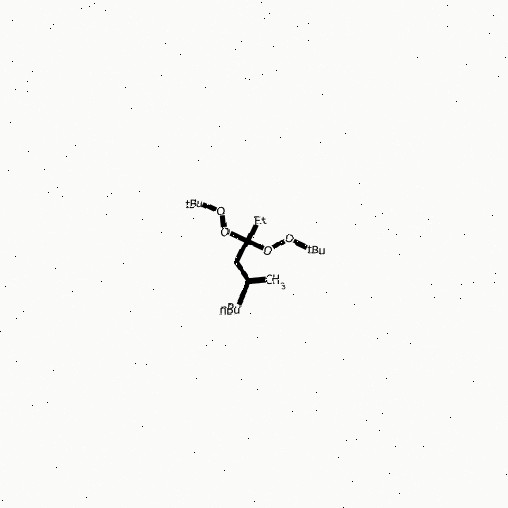 CCCCC(C)CC(CC)(OOC(C)(C)C)OOC(C)(C)C